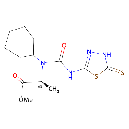 COC(=O)[C@H](C)N(C(=O)Nc1n[nH]c(=S)s1)C1CCCCC1